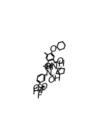 COc1cc(C)c(OC2CCCCC2)cc1C(=O)N[C@@H]1[C@H]2CC[C@H](C2)[C@@H]1C(=O)Nc1cccc(S(=O)(=O)C(F)(F)F)c1